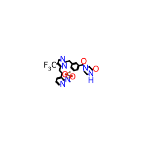 CN(c1ncccc1CCc1nc(Cc2cccc(C(=O)N3CCNC(=O)C3)c2)ncc1C(F)(F)F)S(C)(=O)=O